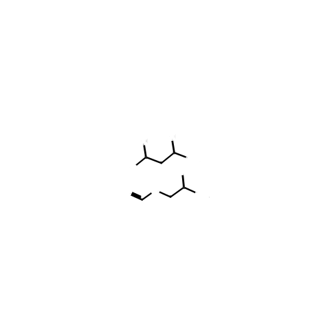 CC(C)COC=O.CC(O)CC(O)C(C)(C)C